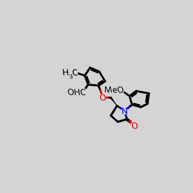 COc1ccccc1N1C(=O)CC[C@H]1COc1cccc(C)c1C=O